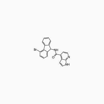 O=C(NC1c2ccccc2-c2c(Br)cccc21)c1ccnc2[nH]ccc12